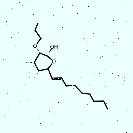 CCCCCCC/C=C/C1C[C@H](C)[C@H](OCCC)[C@H](O)O1